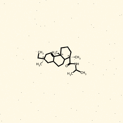 CC[C@@]1(C)CC=C2C(CCC3[C@](C)(C(=O)NC(C)C)CCC[C@@]23C)C1